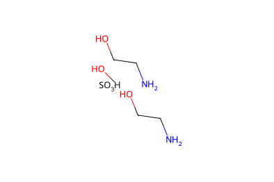 NCCO.NCCO.O=S(=O)(O)O